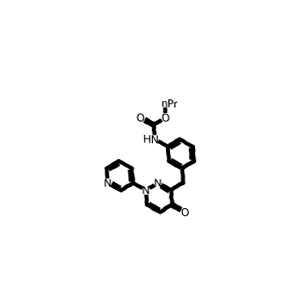 CCCOC(=O)Nc1cccc(Cc2nn(-c3cccnc3)ccc2=O)c1